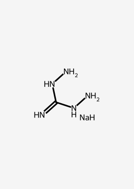 N=C(NN)NN.[NaH]